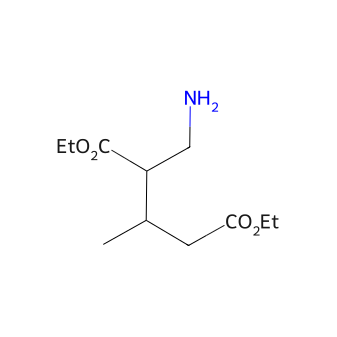 CCOC(=O)CC(C)C(CN)C(=O)OCC